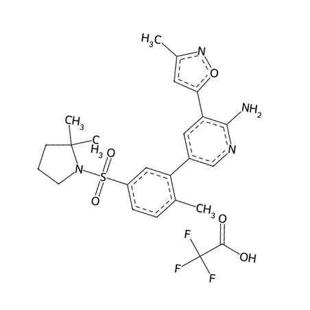 Cc1cc(-c2cc(-c3cc(S(=O)(=O)N4CCCC4(C)C)ccc3C)cnc2N)on1.O=C(O)C(F)(F)F